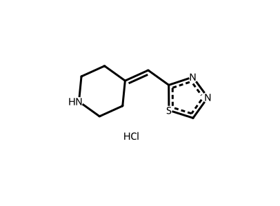 C(=C1CCNCC1)c1nncs1.Cl